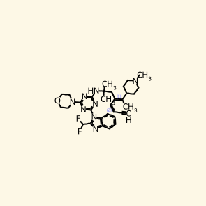 C#C/C=C\C(CC(C)(C)Nc1nc(N2CCOCC2)nc(-n2c(C(F)F)nc3ccccc32)n1)=C(/C)C1CCN(C)CC1